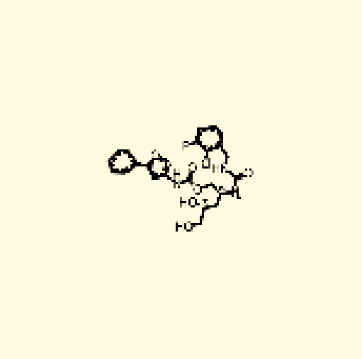 CN(C(=O)NCc1cccc(F)c1Cl)[C@H](COC(=O)Nc1cc(-c2ccccc2)on1)C[C@@H](O)CO